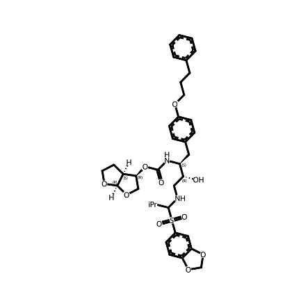 CC(C)C(NC[C@@H](O)[C@H](Cc1ccc(OCCCc2ccccc2)cc1)NC(=O)O[C@H]1CO[C@H]2OCC[C@H]21)S(=O)(=O)c1ccc2c(c1)OCO2